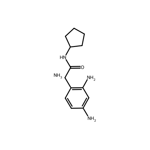 N.Nc1ccc(CC(=O)NC2CCCC2)c(N)c1